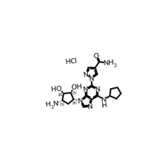 Cl.NC(=O)c1cnn(-c2nc(NC3CCCC3)c3ncn([C@@H]4C[C@H](N)[C@@H](O)[C@H]4O)c3n2)c1